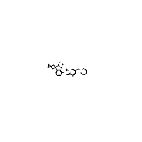 Cn1cnnc1C1(c2cccc(-n3cc4c(C(F)(F)F)cc(CN5CCC[C@@H](C(F)(F)F)C5)cn4c3=O)c2)CC2(CC2)C1